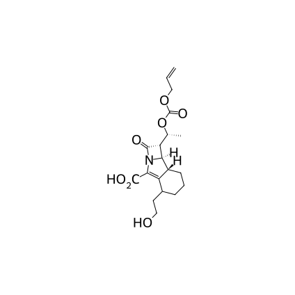 C=CCOC(=O)O[C@H](C)[C@H]1C(=O)N2C(C(=O)O)=C3C(CCO)CCC[C@H]3[C@H]12